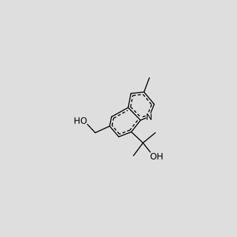 Cc1cnc2c(C(C)(C)O)cc(CO)cc2c1